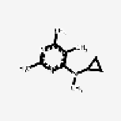 Cc1nc(C)c(C)c(N(C)C2CC2)n1